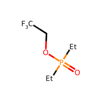 CCP(=O)(CC)OCC(F)(F)F